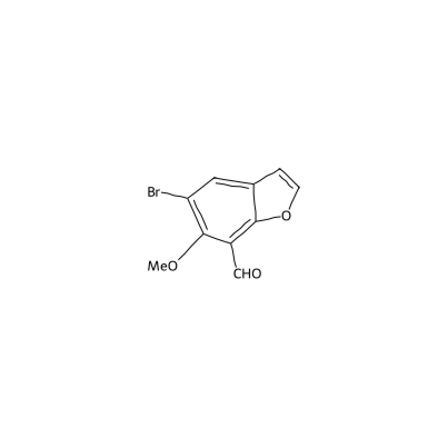 COc1c(Br)cc2ccoc2c1C=O